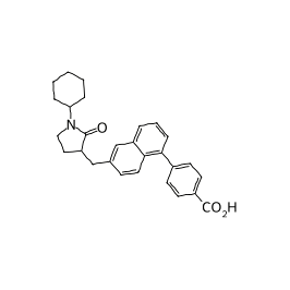 O=C(O)c1ccc(-c2cccc3cc(CC4CCN(C5CCCCC5)C4=O)ccc23)cc1